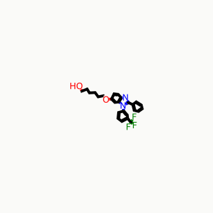 OCCCCCCOc1ccc2nc(-c3ccccc3)n(-c3cccc(C(F)(F)F)c3)c2c1